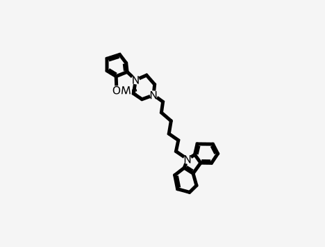 COc1ccccc1N1CCN(CCCCCCn2c3c(c4ccccc42)CCC=C3)CC1